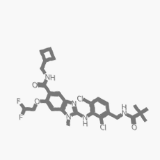 Cn1c(Nc2c(Cl)ccc(CNC(=O)C(C)(C)C)c2Cl)nc2cc(C(=O)NCC3CCC3)c(OCC(F)F)cc21